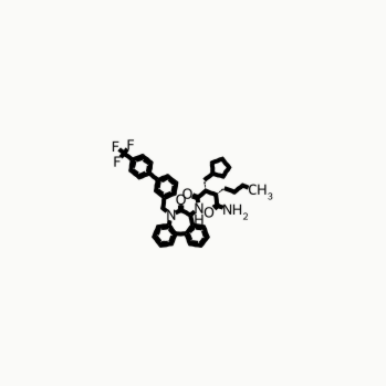 CCCC[C@H](C(N)=O)[C@@H](CC1CCCC1)C(=O)NC1C(=O)N(Cc2cccc(-c3ccc(C(F)(F)F)cc3)c2)c2ccccc2-c2ccccc21